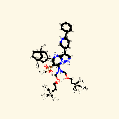 C[Si](C)(C)CCOCN(COCC[Si](C)(C)C)c1c(S(C)(=O)=O)c([C@H]2C[C@@H]3CC[C@@H](C3)C2)nc2c(-c3ccc(-c4ccccc4)nc3)cnn12